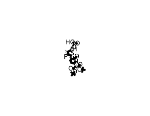 C[C@H]1[C@H](F)[C@H](n2ccc(N(C(=O)OC(C)(C)C)C(=O)OC(C)(C)C)nc2=O)S[C@@H]1CO[PH](=O)O